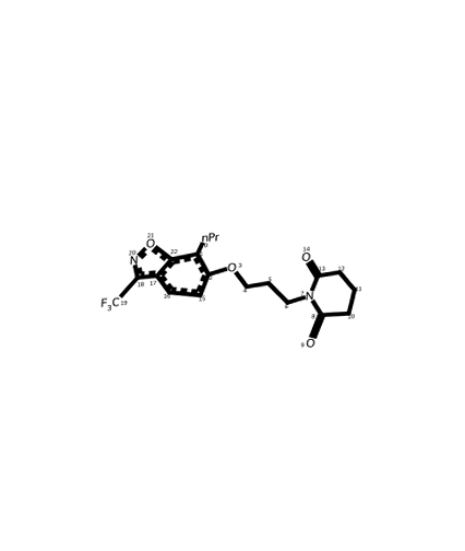 CCCc1c(OCCCN2C(=O)CCCC2=O)ccc2c(C(F)(F)F)noc12